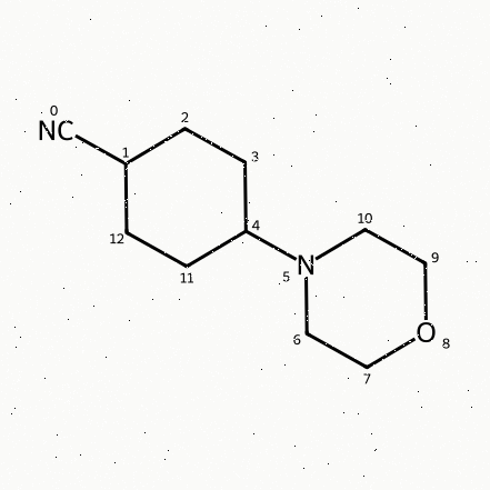 N#CC1CCC(N2CCOCC2)CC1